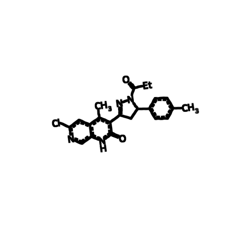 CCC(=O)N1N=C(c2c(C)c3cc(Cl)ncc3[nH]c2=O)CC1c1ccc(C)cc1